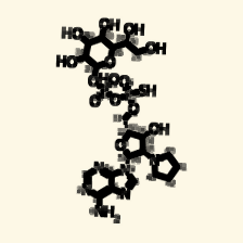 Nc1ncnc2c1ncn2[C@@H]1O[C@H](COP(=O)(S)OP(=O)(O)OC2OC([C@@H](O)CO)C(O)C(O)C2O)[C@@H](O)[C@H]1N1CCCC1